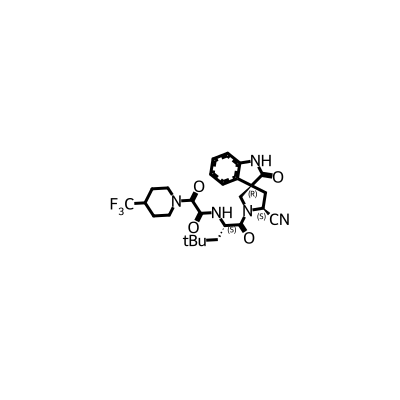 CC(C)(C)C[C@H](NC(=O)C(=O)N1CCC(C(F)(F)F)CC1)C(=O)N1C[C@]2(C[C@H]1C#N)C(=O)Nc1ccccc12